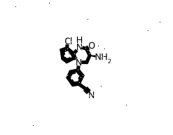 N#Cc1cccc(N2C[C@H](N)C(=O)Nc3c(Cl)cccc32)c1